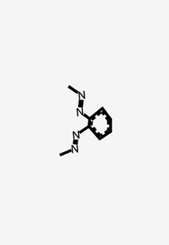 CN=Nc1ccccc1N=NC